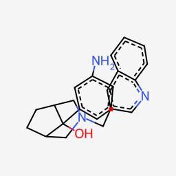 Nc1cccc(C2(O)C3CCC2CN(Cc2cnc4ccccc4c2)C3)c1